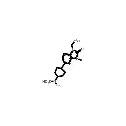 Cn1c(=O)n(CC(C)(C)C)c2ccc(C3CCC(N(C(=O)O)C(C)(C)C)CC3)nc21